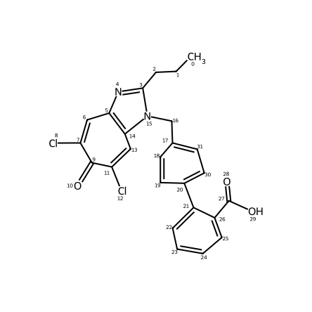 CCCc1nc2cc(Cl)c(=O)c(Cl)cc2n1Cc1ccc(-c2ccccc2C(=O)O)cc1